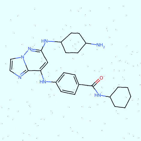 NC1CCC(Nc2cc(Nc3ccc(C(=O)NC4CCCCC4)cc3)c3nccn3n2)CC1